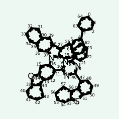 c1ccc(-c2ccc(-c3nc(-c4cc5c(cc4-n4c6cc7ccccc7cc6c6cc7ccccc7cc64)oc4ccccc45)nc(-c4cccc5sc6ccccc6c45)n3)cc2)cc1